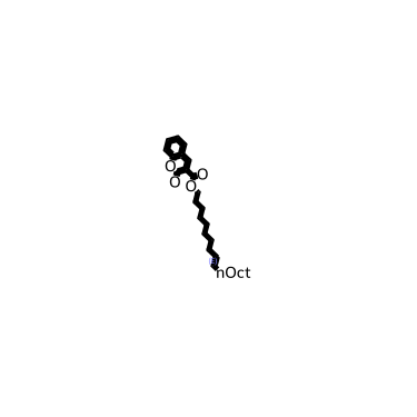 CCCCCCCC/C=C/CCCCCCCCOC(=O)c1cc2ccccc2oc1=O